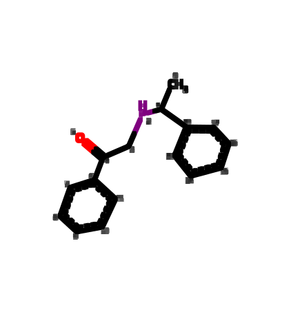 CC(PCC(=O)c1ccccc1)c1ccccc1